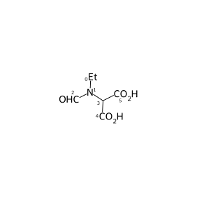 CCN(C=O)C(C(=O)O)C(=O)O